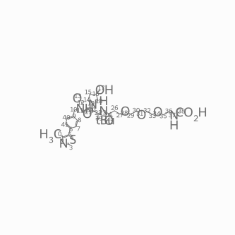 Cc1ncsc1-c1ccc(CNC(=O)[C@@H]2C[C@@H](O)CN2C(=O)C(NC(=O)CCOCCOCCOCCNC(=O)O)C(C)(C)C)cc1